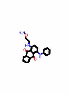 NOCCNc1ccc(Nc2ccccc2)c2c1C(=O)c1ccccc1C2=O